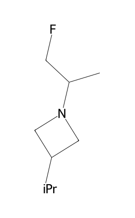 CC(C)C1CN(C(C)CF)C1